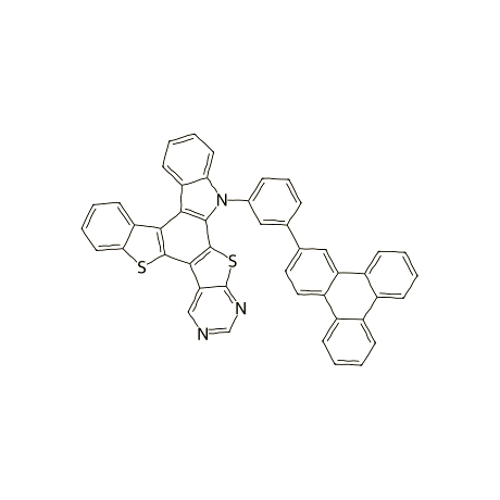 c1cc(-c2ccc3c4ccccc4c4ccccc4c3c2)cc(-n2c3ccccc3c3c4c5ccccc5sc4c4c5cncnc5sc4c32)c1